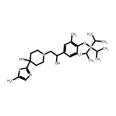 Cc1cnc(C2(O)CCN(CC(O)c3ccc(O[Si](C(C)C)(C(C)C)C(C)C)c(C)c3)CC2)s1